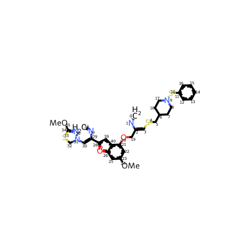 C=N/C(=C\SCC1CCN(Sc2ccccc2)CC1)COc1cc(OC)cc2oc(/C(=C/N3CSC(OC)=N3)N=C)cc12